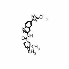 Cc1nnc(-c2ccc3nnc(NC(=O)N4CCN(C)[C@@H](C)C4)cc3c2)s1